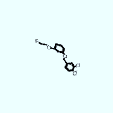 FCCOc1cccc(OCc2ccc(Cl)c(Cl)c2)c1